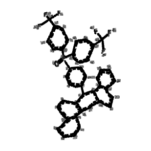 O=P(c1ccc(-c2c3ccc4ccccc4c3cc3ccc4ccccc4c23)cc1)(c1ccc(C(F)(F)F)cc1)c1ccc(C(F)(F)F)cc1